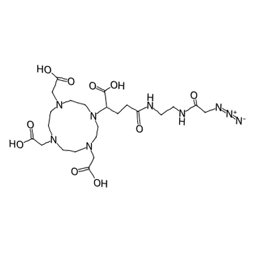 [N-]=[N+]=NCC(=O)NCCNC(=O)CCC(C(=O)O)N1CCN(CC(=O)O)CCN(CC(=O)O)CCN(CC(=O)O)CC1